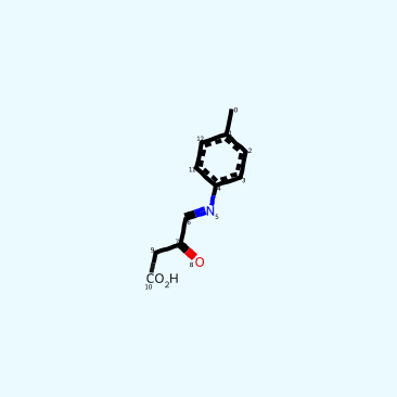 Cc1ccc(N=CC(=O)CC(=O)O)cc1